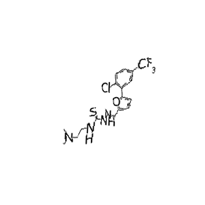 CN(C)CCNC(=S)NN=Cc1ccc(-c2cc(C(F)(F)F)ccc2Cl)o1